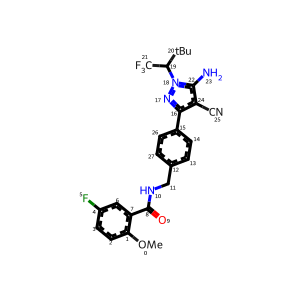 COc1ccc(F)cc1C(=O)NCc1ccc(-c2nn(C(C(C)(C)C)C(F)(F)F)c(N)c2C#N)cc1